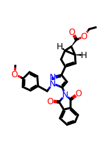 CCOC(=O)[C@H]1[C@@H]2C=C(c3cc(N4C(=O)c5ccccc5C4=O)n(Cc4ccc(OC)cc4)n3)C[C@@H]21